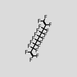 FC(F)=C(F)C(F)(F)C(F)(F)C(F)(F)C(F)(F)C(F)(F)C(F)(F)C(F)=C(F)F